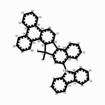 CC1(C)c2cc(-n3c4ccccc4c4ccccc43)c3ccccc3c2-c2ccc3c4ccccc4c4ccccc4c3c21